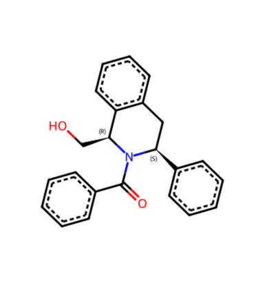 O=C(c1ccccc1)N1[C@H](c2ccccc2)Cc2ccccc2[C@@H]1CO